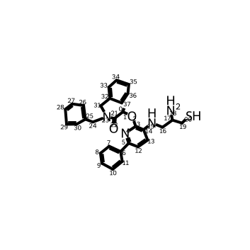 CC(Oc1nc(-c2ccccc2)ccc1NCC(N)CS)C(=O)N(Cc1ccccc1)Cc1ccccc1